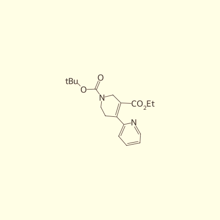 CCOC(=O)C1=C(c2ccccn2)CCN(C(=O)OC(C)(C)C)C1